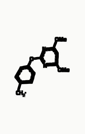 [CH2]c1ccc(Oc2nc(OC)cc(OC)n2)cc1